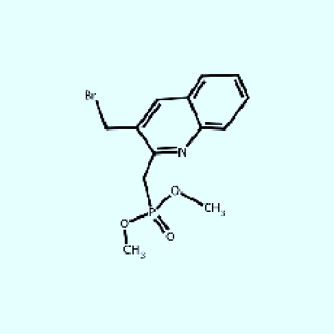 COP(=O)(Cc1nc2ccccc2cc1CBr)OC